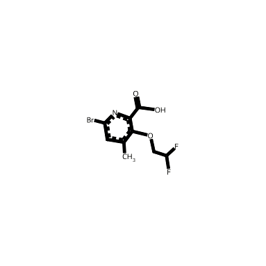 Cc1cc(Br)nc(C(=O)O)c1OCC(F)F